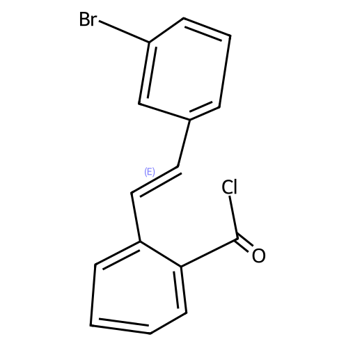 O=C(Cl)c1ccccc1/C=C/c1cccc(Br)c1